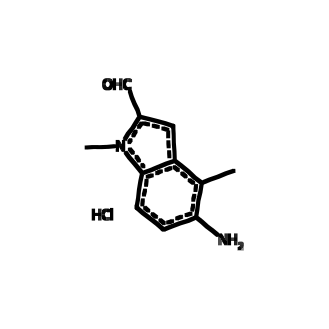 Cc1c(N)ccc2c1cc(C=O)n2C.Cl